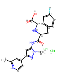 Cc1cc(-c2cc(NC(=O)[C@H](Cc3ccc(F)cc3)NCC(=O)O)n(C)n2)ccn1.Cl.Cl